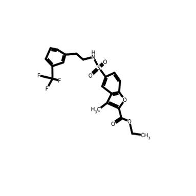 CCOC(=O)c1oc2ccc(S(=O)(=O)NCCc3cccc(C(F)(F)F)c3)cc2c1C